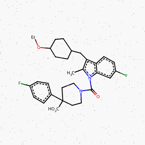 CCOC1CCC(Cc2c(C)n(C(=O)N3CCC(C(=O)O)(c4ccc(F)cc4)CC3)c3cc(F)ccc23)CC1